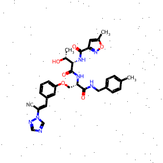 Cc1ccc(CNC(=O)[C@H](COc2cccc(/C=C(\C#N)n3cncn3)c2)NC(=O)[C@@H](NC(=O)c2cc(C)on2)[C@@H](C)O)cc1